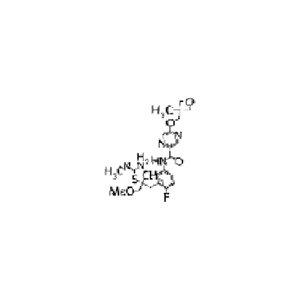 C/N=C(/N)S[C@@](C)(COC)Cc1cc(NC(=O)c2cnc(OCC3(C)COC3)cn2)ccc1F